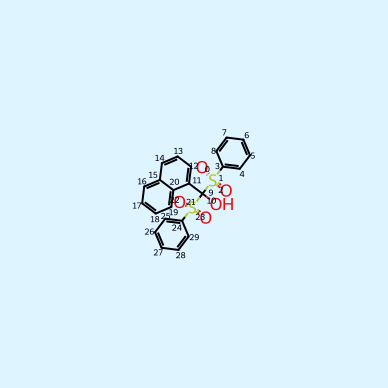 O=S(=O)(c1ccccc1)C(O)(c1cccc2ccccc12)S(=O)(=O)c1ccccc1